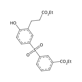 CCOC(=O)CCc1cc(S(=O)(=O)c2cccc(C(=O)OCC)c2)ccc1O